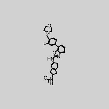 CC(=O)NC1Cc2ccc(Nc3nc4cccc(-c5ccc(CN6CCOCC6)c(F)c5)c4o3)cc2C1